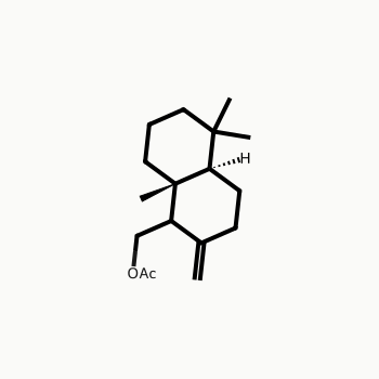 C=C1CC[C@@H]2C(C)(C)CCC[C@@]2(C)C1COC(C)=O